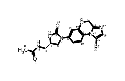 CC(=O)NC[C@H]1CN(c2ccc3c(c2)OCc2ncc(Br)n2-3)C(=O)O1